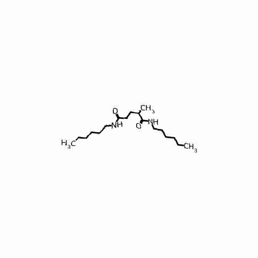 CCCCCCNC(=O)CCC(C)C(=O)NCCCCCC